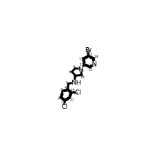 Clc1ccc(CNC2CCN(c3cncc(Br)c3)C2)c(Cl)c1